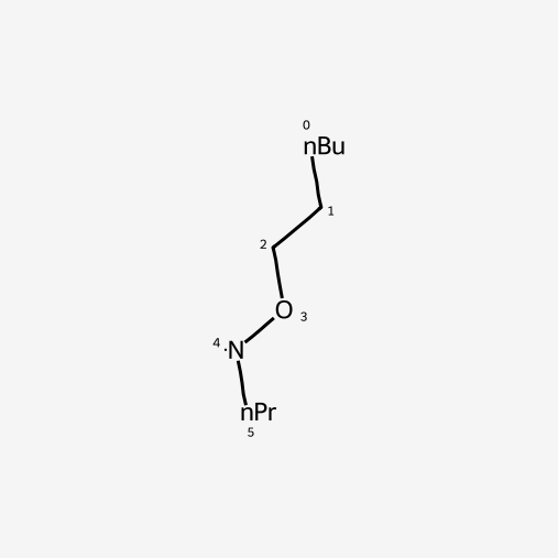 CCCCCCO[N]CCC